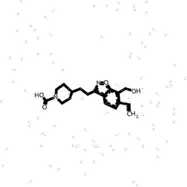 C=Cc1ccc2c(CCC3CCN(C(=O)O)CC3)noc2c1CO